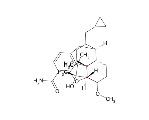 COC12CC[C@@]3(C[C@@H]1[C@](C)(O)C(C)(C)C)[C@H]1Cc4ccc(C(N)=O)c5c4[C@@]3(CCC1CC1CC1)[C@H]2O5